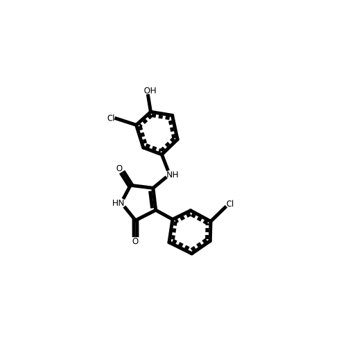 O=C1NC(=O)C(c2cccc(Cl)c2)=C1Nc1ccc(O)c(Cl)c1